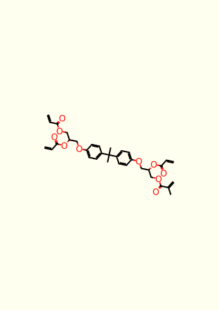 C=CC(=O)OCC(COc1ccc(C(C)(C)c2ccc(OCC(COC(=O)C(=C)C)OC(=O)C=C)cc2)cc1)OC(=O)C=C